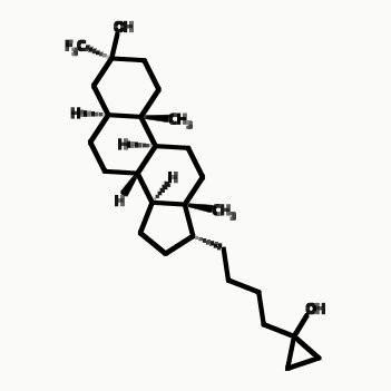 C[C@]12CC[C@@](O)(C(F)(F)F)C[C@@H]1CC[C@@H]1[C@@H]2CC[C@]2(C)[C@H](CCCCC3(O)CC3)CC[C@@H]12